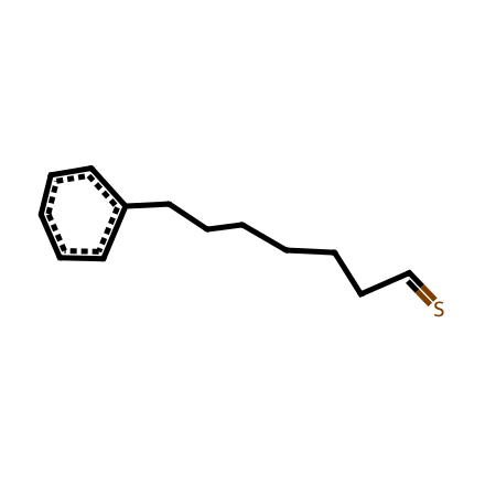 S=CCCCCCCc1ccccc1